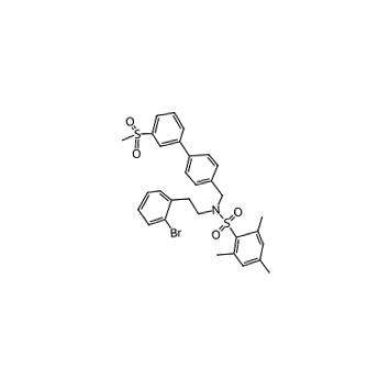 Cc1cc(C)c(S(=O)(=O)N(CCc2ccccc2Br)Cc2ccc(-c3cccc(S(C)(=O)=O)c3)cc2)c(C)c1